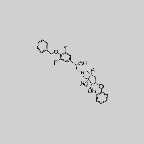 O[C@H](CN1C[C@@H]2C[C@@H](Oc3ccccc3)[C@@H](O)[C@]2(O)C1)c1cc(F)c(OCc2ccccc2)c(F)c1